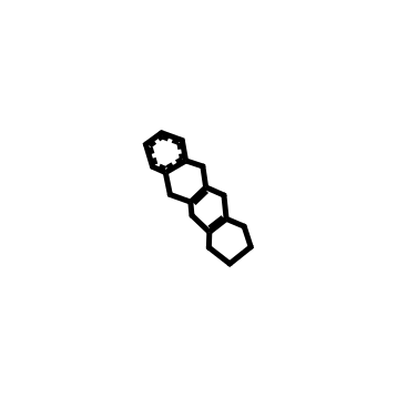 c1ccc2c(c1)CC1=C(CC3=C(CCCC3)C1)C2